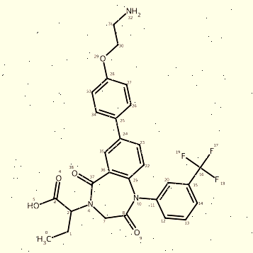 CCC(C(=O)O)N1CC(=O)N(c2cccc(C(F)(F)F)c2)c2ccc(-c3ccc(OCCN)cc3)cc2C1=O